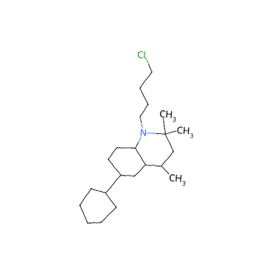 CC1CC(C)(C)N(CCCCCl)C2CCC(C3CCCCC3)CC12